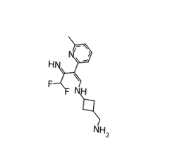 Cc1cccc(/C(=C/NC2CC(CN)C2)C(=N)C(F)F)n1